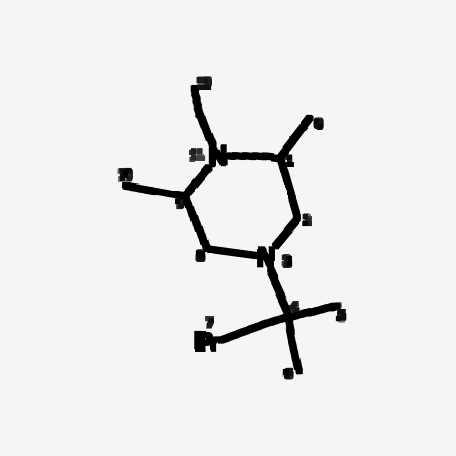 CC1CN(C(C)(C)C(C)C)CC(C)N1C